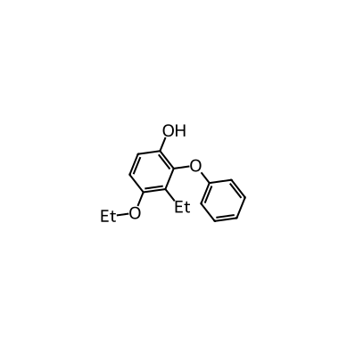 CCOc1ccc(O)c(Oc2ccccc2)c1CC